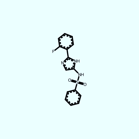 O=S(=O)(Nc1cnc(-c2ccccc2F)[nH]1)c1ccccc1